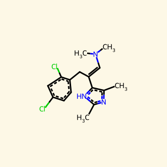 Cc1nc(C)c(C(=CN(C)C)Cc2ccc(Cl)cc2Cl)[nH]1